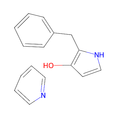 Oc1cc[nH]c1Cc1ccccc1.c1ccncc1